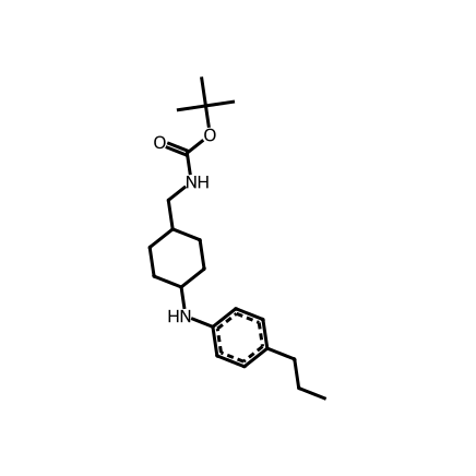 CCCc1ccc(NC2CCC(CNC(=O)OC(C)(C)C)CC2)cc1